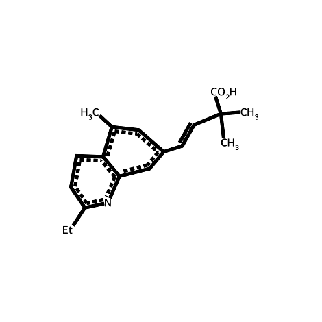 CCc1ccc2c(C)cc(/C=C/C(C)(C)C(=O)O)cc2n1